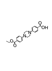 CCOC(=O)c1ccc(N2CCN(c3ccc(C(=O)O)cc3)CC2)cc1